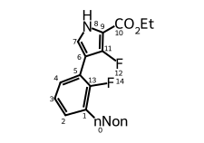 CCCCCCCCCc1cccc(-c2c[nH]c(C(=O)OCC)c2F)c1F